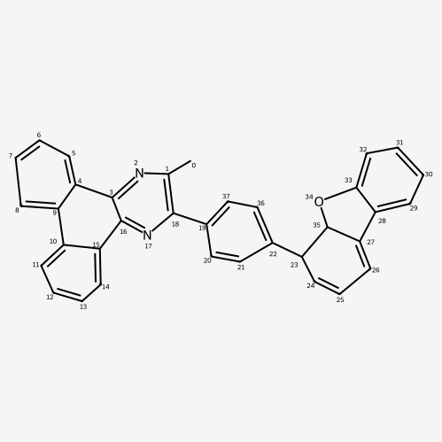 Cc1nc2c3ccccc3c3ccccc3c2nc1-c1ccc(C2C=CC=C3c4ccccc4OC32)cc1